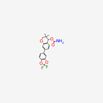 CC1(C)COc2cc(-c3ccc4c(c3)OC(F)(F)O4)ccc2C1OC(N)=O